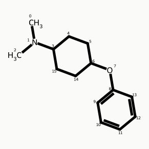 CN(C)C1CCC(Oc2ccccc2)CC1